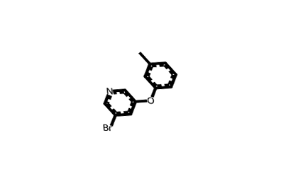 Cc1cccc(Oc2cncc(Br)c2)c1